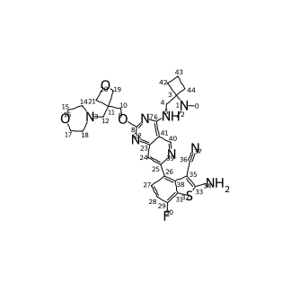 CN(C)C1(CNc2nc(OCC3(CN4CCOCC4)COC3)nc3cc(-c4ccc(F)c5sc(N)c(C#N)c45)ncc23)CCC1